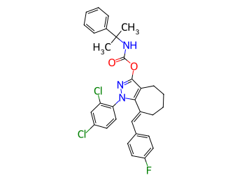 CC(C)(NC(=O)Oc1nn(-c2ccc(Cl)cc2Cl)c2c1CCCC/C2=C\c1ccc(F)cc1)c1ccccc1